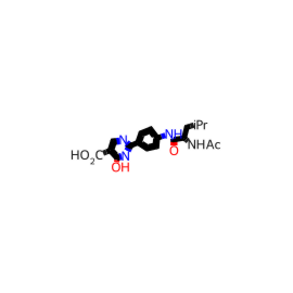 CC(=O)NC(CC(C)C)C(=O)Nc1ccc(-c2ncc(C(=O)O)c(O)n2)cc1